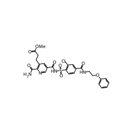 COC(=O)CCc1cc(C(=O)NS(=O)(=O)c2ccc(C(=O)NCCOc3ccccc3)cc2Cl)cnc1C(N)=O